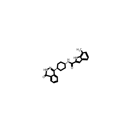 Cc1cccc2cc(C(=O)N[C@H]3CC[C@H](c4n[nH]c(=O)c5ccccc54)CC3)[nH]c12